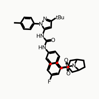 Cc1ccc(-n2nc(C(C)(C)C)cc2NC(=O)Nc2ccc(CC3CC4CCC(C3)N4S(=O)(=O)c3cccc(F)c3)cc2)cc1